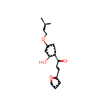 CC(C)=CCOc1ccc(C(=O)C=Cc2ccco2)c(O)c1